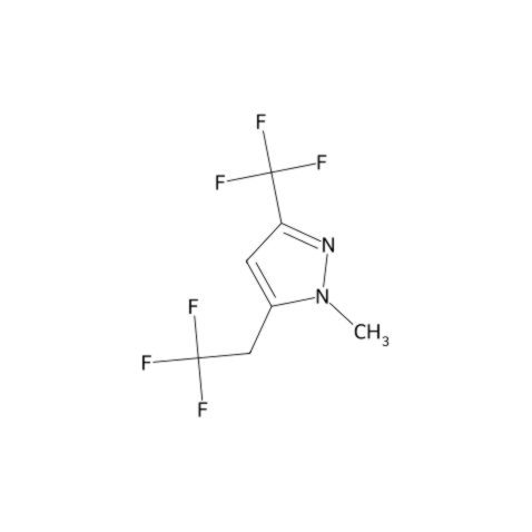 Cn1nc(C(F)(F)F)cc1CC(F)(F)F